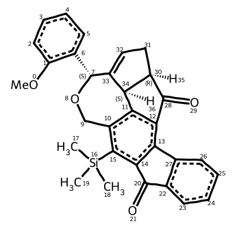 COc1ccccc1[C@H]1OCc2c3c(c4c(c2[Si](C)(C)C)C(=O)c2ccccc2-4)C(=O)[C@@H]2CC=C1[C@H]32